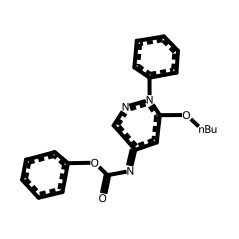 CCCCOc1cc(=NC(=O)Oc2ccccc2)cnn1-c1ccccc1